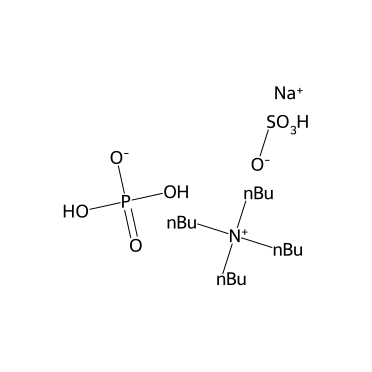 CCCC[N+](CCCC)(CCCC)CCCC.O=P([O-])(O)O.O=S(=O)([O-])O.[Na+]